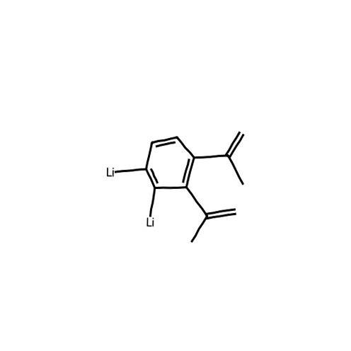 [Li][c]1ccc(C(=C)C)c(C(=C)C)[c]1[Li]